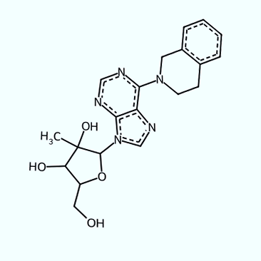 CC1(O)C(O)C(CO)OC1n1cnc2c(N3CCc4ccccc4C3)ncnc21